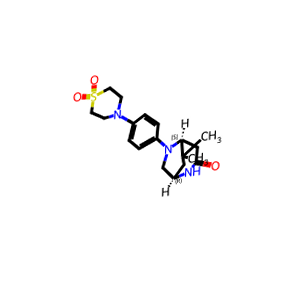 CC1(C)C[C@@H]2CN(c3ccc(N4CCS(=O)(=O)CC4)cc3)[C@H]1CC(=O)N2